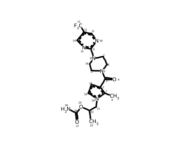 Cc1c(C(=O)N2CCN(c3ncc(C(F)(F)F)cn3)CC2)ccn1CC(C)OC(N)=O